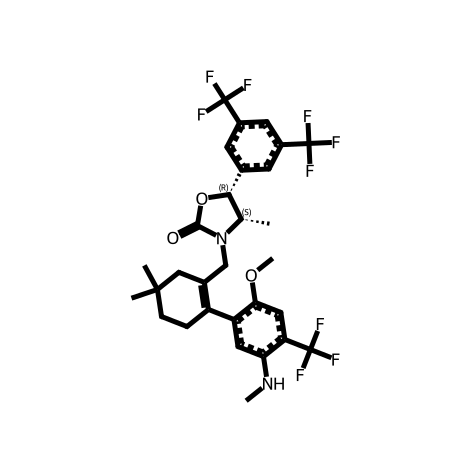 CNc1cc(C2=C(CN3C(=O)O[C@H](c4cc(C(F)(F)F)cc(C(F)(F)F)c4)[C@@H]3C)CC(C)(C)CC2)c(OC)cc1C(F)(F)F